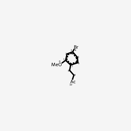 COc1cc(Br)ccc1CCC(C)=O